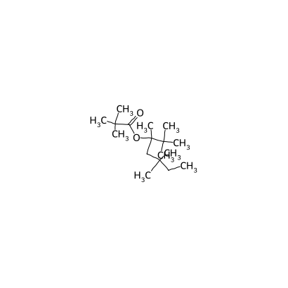 CCC(C)(C)CC(C)(OC(=O)C(C)(C)C)C(C)(C)C